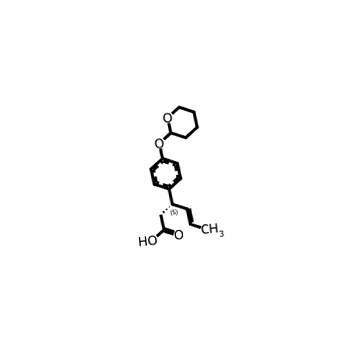 CC=C[C@H](CC(=O)O)c1ccc(OC2CCCCO2)cc1